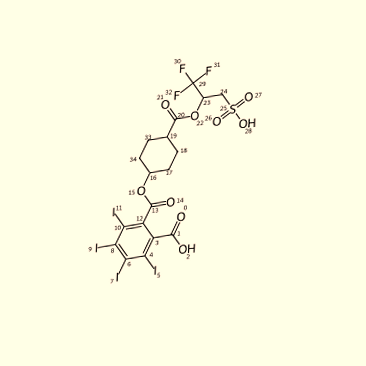 O=C(O)c1c(I)c(I)c(I)c(I)c1C(=O)OC1CCC(C(=O)OC(CS(=O)(=O)O)C(F)(F)F)CC1